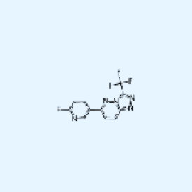 Fc1ccc(-c2ccc3nnc(C(F)(F)F)n3n2)cn1